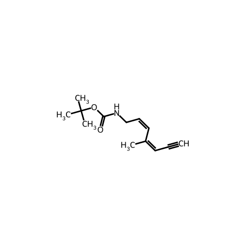 C#C/C=C(C)\C=C/CNC(=O)OC(C)(C)C